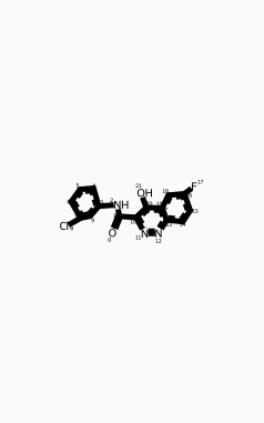 O=C(Nc1cccc(Cl)c1)c1nnc2ccc(F)cc2c1O